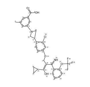 Cc1cc(C(=O)O)cc(N2CC(c3ccc(OC/C(C(=N)c4ccccc4OC(F)(F)F)=C(/O)C4CC4)cc3Cl)C2)c1